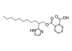 CCCCCCCCCC(COC(=O)c1ccccc1C(=O)O)c1ncc[nH]1